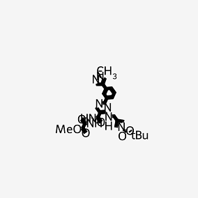 COC(=O)C(=O)NNC(=O)c1cnc(-c2cccc(-c3cnn(C)c3)c2)nc1NCC1CN(C(=O)OC(C)(C)C)C1